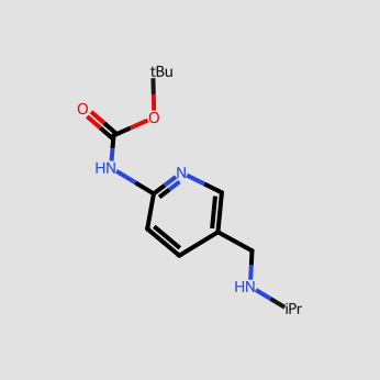 CC(C)NCc1ccc(NC(=O)OC(C)(C)C)nc1